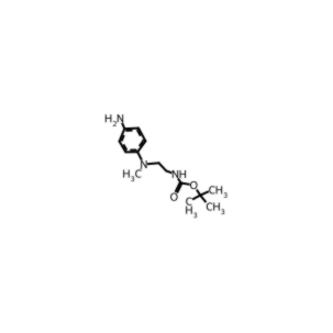 CN(CCNC(=O)OC(C)(C)C)c1ccc(N)cc1